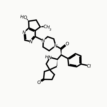 C[C@@H]1C[C@@H](O)c2ncnc(N3CCN(C(=O)[C@@H](c4ccc(Cl)cc4)[C@@H]4CC5(CCC(=O)C5)CN4)CC3)c21